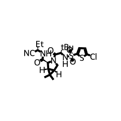 CC[C@@H](C#N)NC(=O)[C@@H]1[C@@H]2[C@H](CN1C(=O)[C@@H](NS(=O)(=O)c1ccc(Cl)s1)C(C)(C)C)C2(C)C